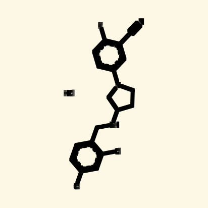 Cl.N#Cc1cc(N2CCC(NCc3ccc(Cl)cc3Cl)C2)ccc1F